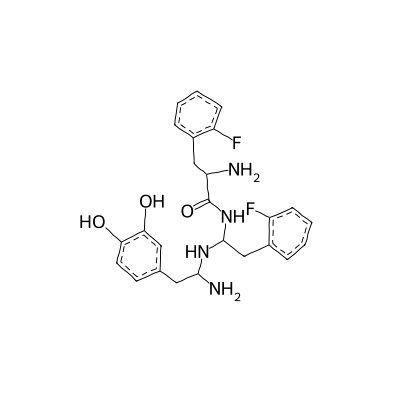 NC(Cc1ccc(O)c(O)c1)NC(Cc1ccccc1F)NC(=O)C(N)Cc1ccccc1F